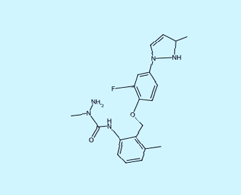 Cc1cccc(NC(=O)N(C)N)c1COc1ccc(N2C=CC(C)N2)cc1F